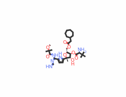 COC(C)(C)C(=O)N/C(=N/C=N)c1ccc([C@]2(C)O[C@H](COC(=O)CC3CCCCCC3)[C@@H](OC(=O)[C@@H](N)C(C)(C)C)[C@H]2O)[nH]1